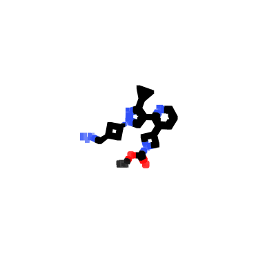 CC(C)(C)OC(=O)N1CC(c2cccnc2-c2cn([C@H]3C[C@H](CN)C3)nc2C2CC2)C1